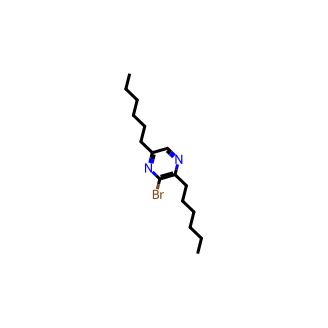 CCCCCCc1cnc(CCCCCC)c(Br)n1